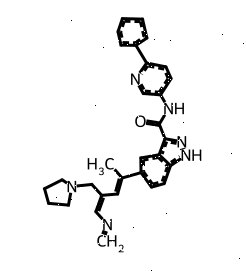 C=N/C=C(\C=C(/C)c1ccc2[nH]nc(C(=O)Nc3ccc(-c4ccccc4)nc3)c2c1)CN1CCCC1